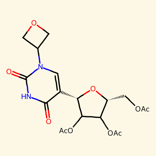 CC(=O)OC[C@H]1O[C@@H](c2cn(C3COC3)c(=O)[nH]c2=O)C(OC(C)=O)C1OC(C)=O